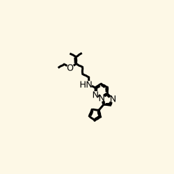 CCOC(CCCNc1ccc2ncc(C3=C=CC=C3)n2n1)=C(C)C